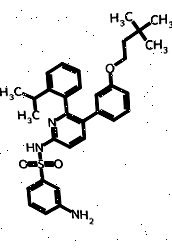 CC(C)c1ccccc1-c1nc(NS(=O)(=O)c2cccc(N)c2)ccc1-c1cccc(OCCC(C)(C)C)c1